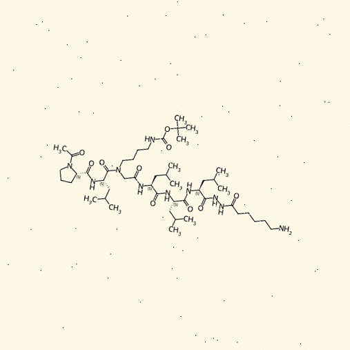 CC(=O)N1CCC[C@H]1C(=O)N[C@@H](CC(C)C)C(=O)N(CCCCNC(=O)OC(C)(C)C)CC(=O)N[C@@H](CC(C)C)C(=O)N[C@@H](CC(C)C)C(=O)N[C@@H](CC(C)C)C(=O)NNC(=O)CCCCCN